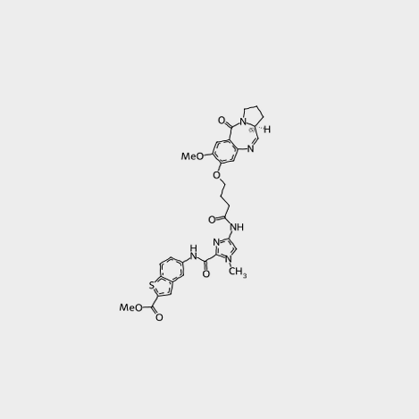 COC(=O)c1cc2cc(NC(=O)c3nc(NC(=O)CCCOc4cc5c(cc4OC)C(=O)N4CCC[C@H]4C=N5)cn3C)ccc2s1